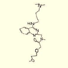 COCCOCC(=O)N(C)Cc1nc(NCCCN(C)C)c2ccccc2n1